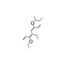 C=C/C(=C\C(CC)=C(/C=C)OCC)OC(C)CC